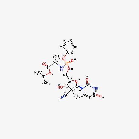 CC(C)OC(=O)[C@H](C)NP(=O)(OC[C@H]1O[C@@H](n2ccc(=O)[nH]c2=O)C(C)(C#N)[C@@H]1O)Oc1ccccc1